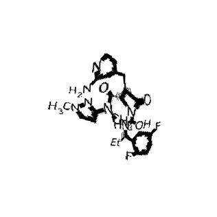 CC[C@@H](NC(O)N1C(=O)[C@H](Cc2ccnc(N)c2)[C@H]1C(=O)N(C)c1ccn(C)n1)c1cc(F)ccc1F